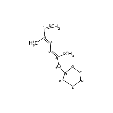 C=C/C(C)=C/C=C(\C)OC1CCCCC1